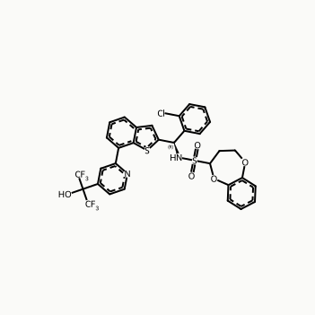 O=S(=O)(N[C@@H](c1cc2cccc(-c3cc(C(O)(C(F)(F)F)C(F)(F)F)ccn3)c2s1)c1ccccc1Cl)C1CCOc2ccccc2O1